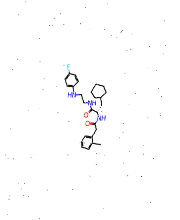 Cc1ccccc1CC(=O)N[C@@H](CC1CCCCC1)C(=O)NCCNc1ccc(F)cc1